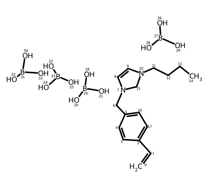 C=Cc1ccc(CN2C=CN(CCCC)C2)cc1.OB(O)O.OB(O)O.OB(O)O.OB(O)O